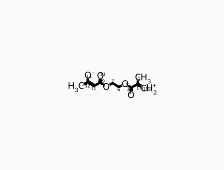 C=C(C)C(=O)OCCOC(=O)C=C(C)[O-].[Li+]